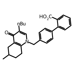 CCCCc1cn(Cc2ccc(-c3ccccc3C(=O)O)cc2)c2c(c1=O)CC(C)CC2